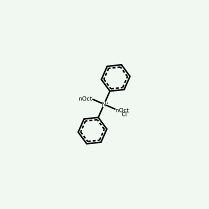 CCCCCCCC[N+](CCCCCCCC)(c1ccccc1)c1ccccc1.[Cl-]